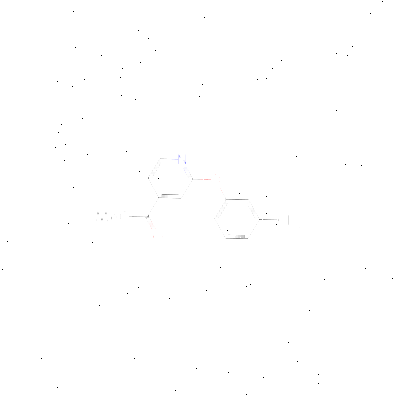 COC(=O)c1ccnc(Oc2cccc(C(F)(F)F)c2)c1